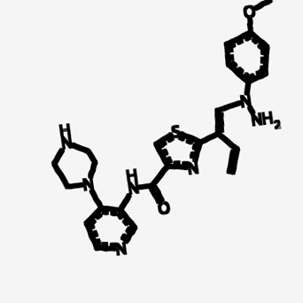 C=C/C(=C\N(N)c1ccc(OC)cc1)c1nc(C(=O)Nc2cnccc2N2CCNCC2)cs1